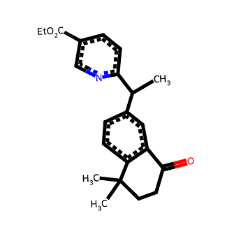 CCOC(=O)c1ccc(C(C)c2ccc3c(c2)C(=O)CCC3(C)C)nc1